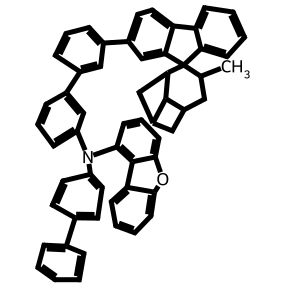 CC1CC2CC3CC(C23)C12c1ccccc1-c1ccc(-c3cccc(-c4cccc(N(c5ccc(-c6ccccc6)cc5)c5cccc6oc7ccccc7c56)c4)c3)cc12